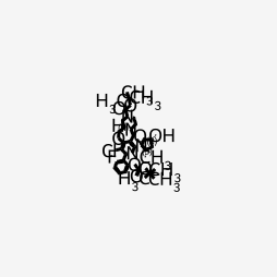 C[C@H]1C[C@@H](O)CN1c1nc(-c2c(F)cccc2OC(=O)OC(C)(C)C)c(Cl)c2c1C(=O)N1CCN(C(=O)OC(C)(C)C)C[C@@H]1CO2